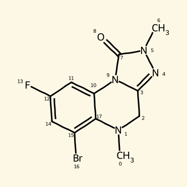 CN1Cc2nn(C)c(=O)n2-c2cc(F)cc(Br)c21